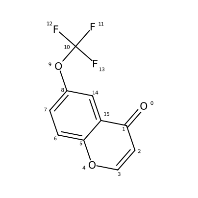 O=c1ccoc2ccc(OC(F)(F)F)cc12